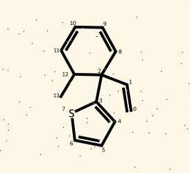 C=CC1(c2cccs2)C=CC=CC1C